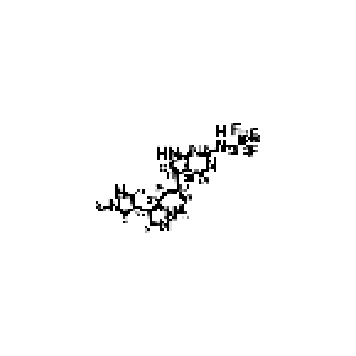 Cn1cc(-c2cnn3ccc(-c4c[nH]c5nc(NCC(F)(F)F)ncc45)cc23)cn1